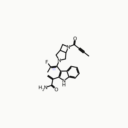 C=C(C(N)=O)c1[nH]c2ccccc2c1/C(=C(\C)F)N1CC2CN(C(=O)C#CC)C2C1